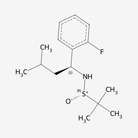 CC(C)C[C@H](N[S@@+]([O-])C(C)(C)C)c1ccccc1F